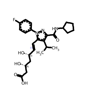 CC(C)c1c(C(=O)NC2CCCC2)nn(-c2ccc(F)cc2)c1/C=C/[C@@H](O)C[C@@H](O)CC(=O)O